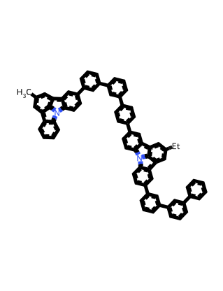 CCc1cc2c3cc(-c4ccc(-c5cccc(-c6cccc(-c7ccc8c(c7)c7cc(C)cc9c%10ccccc%10n8c97)c6)c5)cc4)ccc3n3c4ccc(-c5cccc(-c6cccc(-c7ccccc7)c6)c5)cc4c(c1)c23